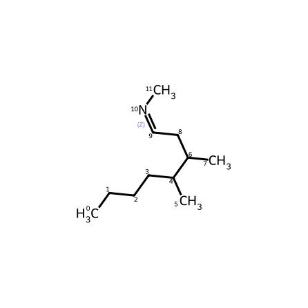 CCCCC(C)C(C)C/C=N\C